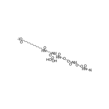 CN(C)CCNC(=O)COCCOCCNC(=O)COCCOCCNC(=O)CCCNC(=O)CCCNC(=O)CCCCCCCCCCCCCCC(=O)OC(C)(C)C.O=C(O)O